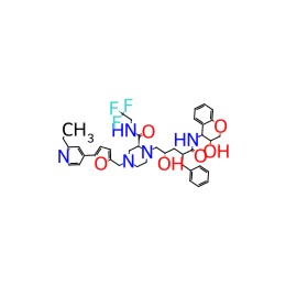 CCc1cc(-c2ccc(CN3CCN(C[C@@H](O)CC(Cc4ccccc4)C(=O)N[C@H]4c5ccccc5OC[C@H]4O)[C@H](C(=O)NCC(F)(F)F)C3)o2)ccn1